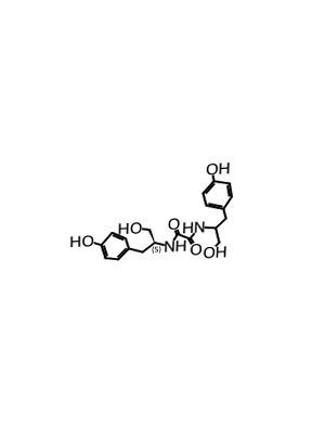 O=C(NC(CO)Cc1ccc(O)cc1)C(=O)N[C@H](CO)Cc1ccc(O)cc1